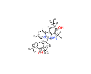 CC=C(c1cc(C(C)(C)C)c(O)c(C(C)(C)C)c1)N(C(=CC)c1cc(C(C)(C)C)c(O)c(C(C)(C)C)c1)C(N)CC